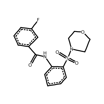 O=C(Nc1ccccc1S(=O)(=O)N1CCOCC1)c1cccc(F)c1